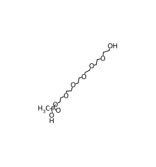 CP(=O)(O)OCCOCCOCCOCCOCCOCCO